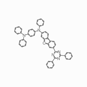 c1ccc(-c2nc(-c3ccccc3)nc(-c3ccc4c(c3)oc3cc(N(c5ccccc5)c5ccc(N(c6ccccc6)c6ccccc6)cc5)ccc34)n2)cc1